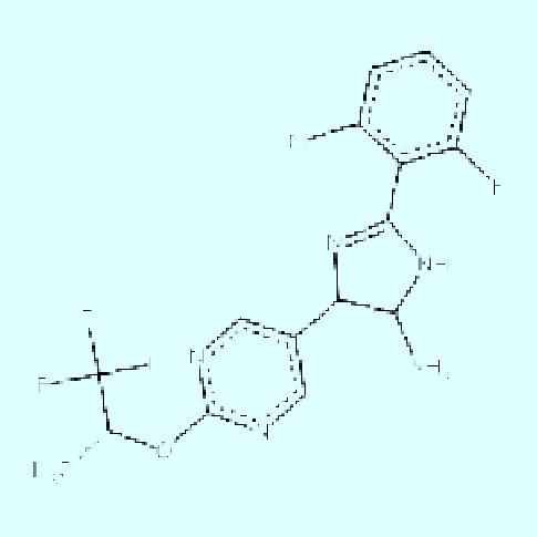 C[C@@H](Oc1ncc(C2N=C(c3c(F)cccc3Cl)NC2N)cn1)C(F)(F)F